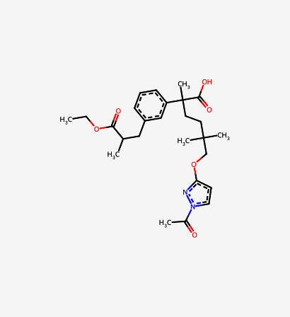 CCOC(=O)C(C)Cc1cccc(C(C)(CCC(C)(C)COc2ccn(C(C)=O)n2)C(=O)O)c1